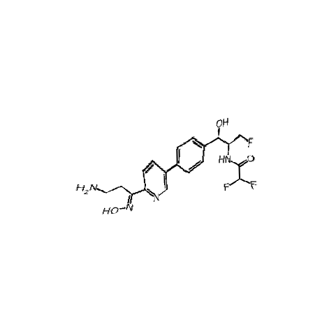 NCCC(=NO)c1ccc(-c2ccc([C@@H](O)[C@@H](CF)NC(=O)C(F)F)cc2)cn1